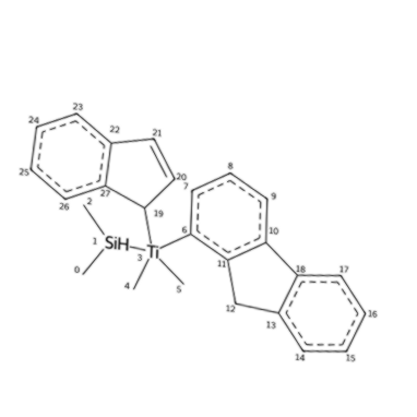 C[SiH](C)[Ti]([CH3])([CH3])([c]1cccc2c1Cc1ccccc1-2)[CH]1C=Cc2ccccc21